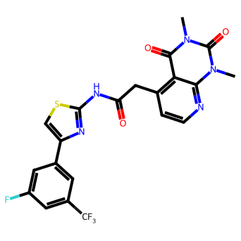 Cn1c(=O)c2c(CC(=O)Nc3nc(-c4cc(F)cc(C(F)(F)F)c4)cs3)ccnc2n(C)c1=O